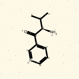 CC(C)[C@@H](N)C(=O)c1cccnc1